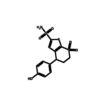 NS(=O)(=O)c1cc2c(s1)S(=O)(=O)CCC2c1ccc(O)cc1